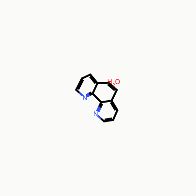 O.c1cnc2c(c1)ccc1cccnc12